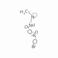 CCCC1CCCCN1CCCNC(=O)c1ccc2c(c1)C(=O)N(Cc1ccc(Br)cc1)C2